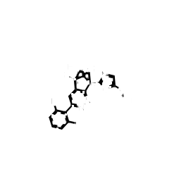 COc1cnc([C@@]23CC[C@@H](c4cc(-c5c(F)cccc5F)nnc42)C3(C)C)o1